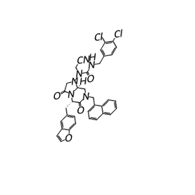 N#CCN(C(=O)NCc1ccc(Cl)c(Cl)c1)N1CC(=O)N2[C@@H](Cc3ccc4occc4c3)C(=O)N(Cc3cccc4ccccc34)C[C@@H]21